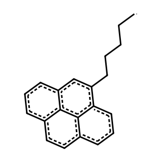 [CH2]CCCCc1cc2cccc3ccc4cccc1c4c32